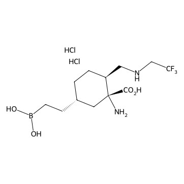 Cl.Cl.N[C@]1(C(=O)O)C[C@H](CCB(O)O)CC[C@H]1CNCC(F)(F)F